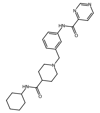 O=C(Nc1cccc(CN2CCC(C(=O)NC3CCCCC3)CC2)c1)c1ccncn1